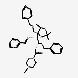 CC1OC(C)(C)O[C@@]1(COCc1ccccc1)[C@@H](OCc1ccccc1)[C@@H](CC(=O)N1CCN(C)CC1)OCc1ccccc1